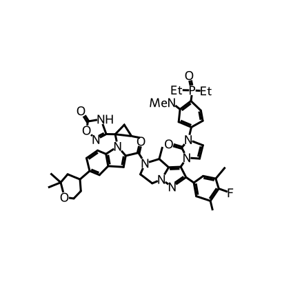 CCP(=O)(CC)c1ccc(-n2ccn(-c3c(-c4cc(C)c(F)c(C)c4)nn4c3C(C)N(C(=O)c3cc5cc(C6CCOC(C)(C)C6)ccc5n3C3(c5noc(=O)[nH]5)CC3C)CC4)c2=O)cc1NC